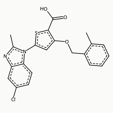 Cc1ccccc1COc1cc(-n2c(C)nc3cc(Cl)ccc32)sc1C(=O)O